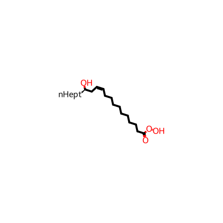 CCCCCCC[C@@H](O)C/C=C\CCCCCCCCCC(=O)OO